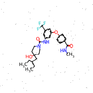 CCC(CC)CC1(O)CCN(C(=O)Nc2cc(Oc3ccc(C(=O)NC)cc3)cc(C(F)(F)F)c2)CC1